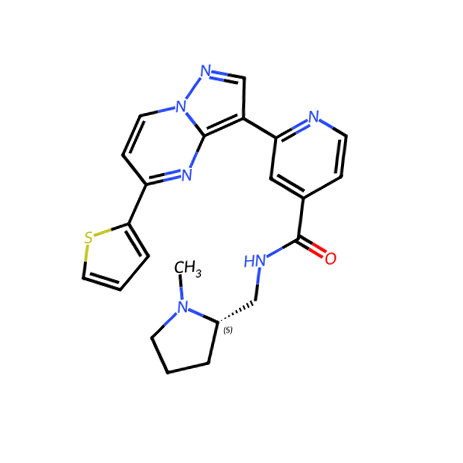 CN1CCC[C@H]1CNC(=O)c1ccnc(-c2cnn3ccc(-c4cccs4)nc23)c1